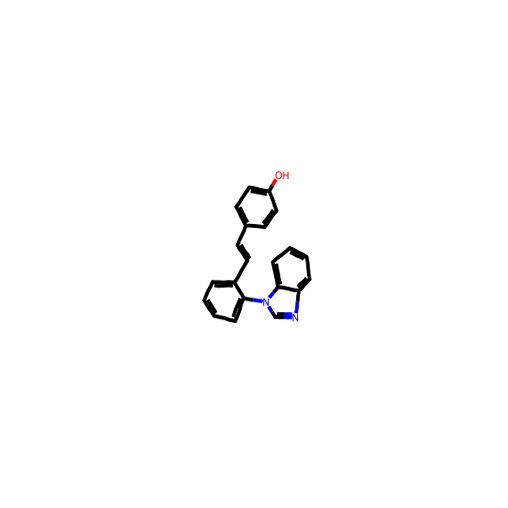 Oc1ccc(C=Cc2ccccc2-n2cnc3ccccc32)cc1